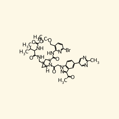 COCc1ccc(Br)nc1NC(=O)[C@@H]1C[C@@]2(CNC(=O)C(NC(=O)OC)C(C)C)C[C@H]2N1C(=O)Cn1nc(C(C)=O)c2cc(-c3cnc(C)nc3)ccc21